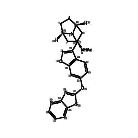 CC(=O)N[C@@H]1C[C@H]2CC[C@@H](C1)N2Cc1coc2cc(Oc3nc4ncccc4s3)ccc12